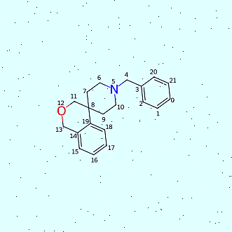 c1ccc(CN2CCC3(CC2)COCc2ccccc23)cc1